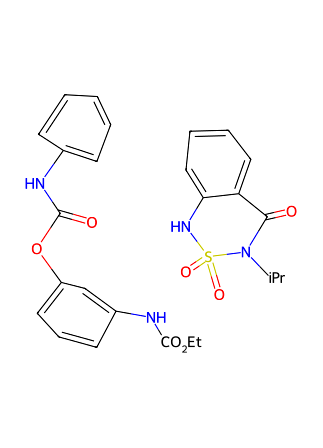 CC(C)N1C(=O)c2ccccc2NS1(=O)=O.CCOC(=O)Nc1cccc(OC(=O)Nc2ccccc2)c1